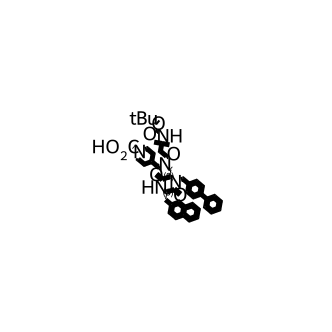 CC(C)(CC(=O)N(CC1CCN(C(=O)O)CC1)C[C@H]1C(=O)N[C@@H](Cc2ccc3ccccc3c2)C(=O)N1Cc1ccc(-c2ccccc2)cc1)NC(=O)OC(C)(C)C